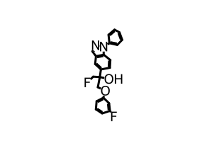 OC(CF)(COc1cccc(F)c1)c1ccc2c(cnn2-c2ccccc2)c1